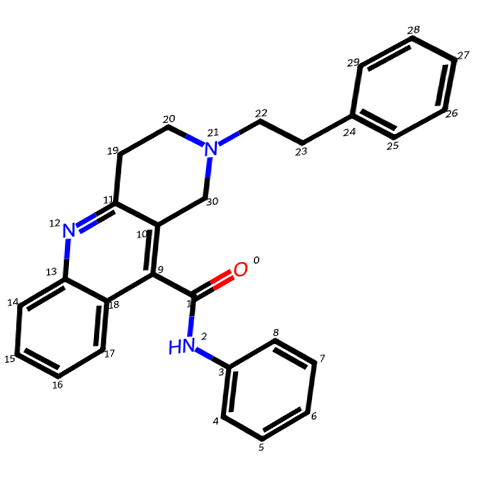 O=C(Nc1ccccc1)c1c2c(nc3ccccc13)CCN(CCc1ccccc1)C2